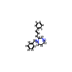 C(=Cc1ccccc1)CC1C[N]CCCN1Cc1ccccc1